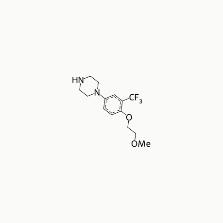 COCCOc1ccc(N2CCNCC2)cc1C(F)(F)F